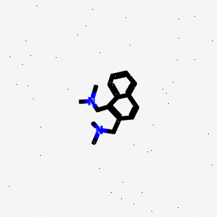 CN(C)Cc1ccc2ccccc2c1CN(C)C